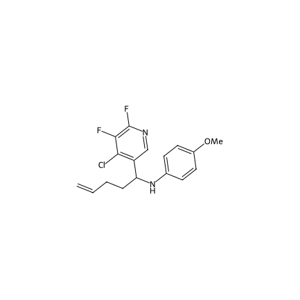 C=CCCC(Nc1ccc(OC)cc1)c1cnc(F)c(F)c1Cl